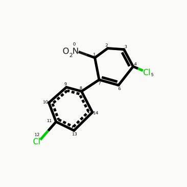 O=[N+]([O-])C1CC=C(Cl)C=C1c1ccc(Cl)cc1